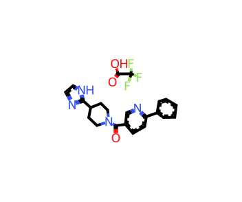 O=C(O)C(F)(F)F.O=C(c1ccc(-c2ccccc2)nc1)N1CCC(c2ncc[nH]2)CC1